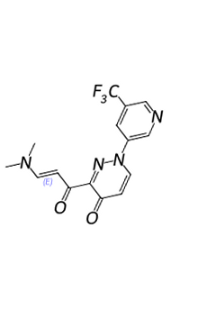 CN(C)/C=C/C(=O)c1nn(-c2cncc(C(F)(F)F)c2)ccc1=O